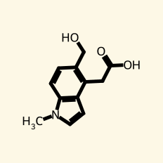 Cn1ccc2c(CC(=O)O)c(CO)ccc21